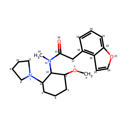 COC1CCCC(N2CCCC2)C1N(C)C(=O)Cc1cccc2occc12